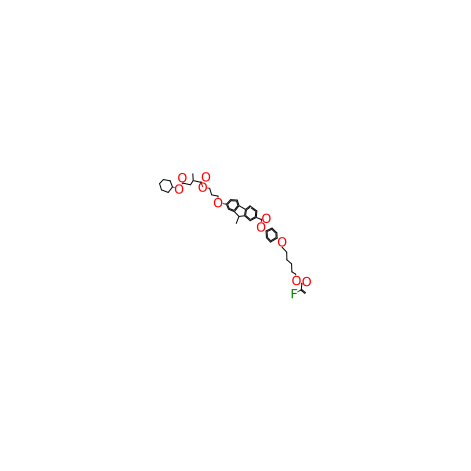 C=C(F)C(=O)OCCCCCCOc1ccc(OC(=O)c2ccc3c(c2)C(C)c2cc(OCCCOC(=O)C(C)CC(=O)OC4CCCCC4)ccc2-3)cc1